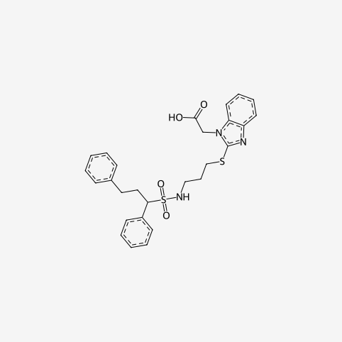 O=C(O)Cn1c(SCCCNS(=O)(=O)C(CCc2ccccc2)c2ccccc2)nc2ccccc21